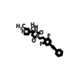 Cc1cc([C@]2(C)CC(=O)N(CCc3c(F)cc(C#Cc4ccccc4)cc3F)C(=O)N2)ccn1